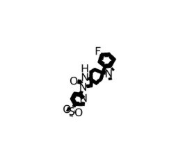 CN(C)C1(c2cccc(F)c2)CCC2(CC1)CN(c1ccc(S(C)(=O)=O)cn1)C(=O)N2